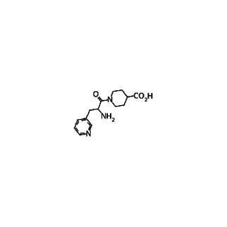 NC(Cc1cccnc1)C(=O)N1CCC(C(=O)O)CC1